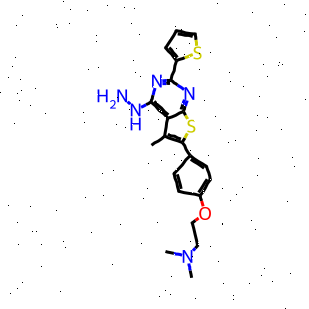 Cc1c(-c2ccc(OCCN(C)C)cc2)sc2nc(-c3cccs3)nc(NN)c12